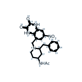 CC(=O)NC1CCN(Cc2cc([N+](=O)[O-])cc3[nH]c(=O)c(=O)[nH]c23)C(Cc2ccccc2)C1